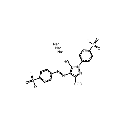 O=C([O-])c1nn(-c2ccc(S(=O)(=O)[O-])cc2)c(O)c1N=Nc1ccc(S(=O)(=O)[O-])cc1.[Na+].[Na+].[Na+]